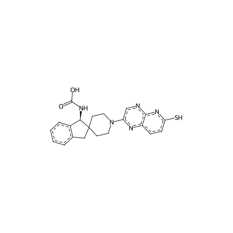 O=C(O)N[C@@H]1c2ccccc2CC12CCN(c1cnc3nc(S)ccc3n1)CC2